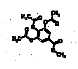 COC(=O)c1cc(OC(C)=O)c(OC(C)=O)c(OC(C)=O)c1